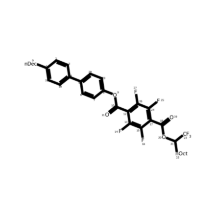 CCCCCCCCCCc1ccc(-c2ccc(OC(=O)c3c(F)c(F)c(C(=O)OC(CCCCCCCC)C(F)(F)F)c(F)c3F)cc2)cc1